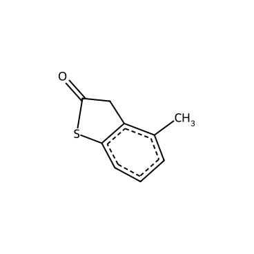 Cc1cccc2c1CC(=O)S2